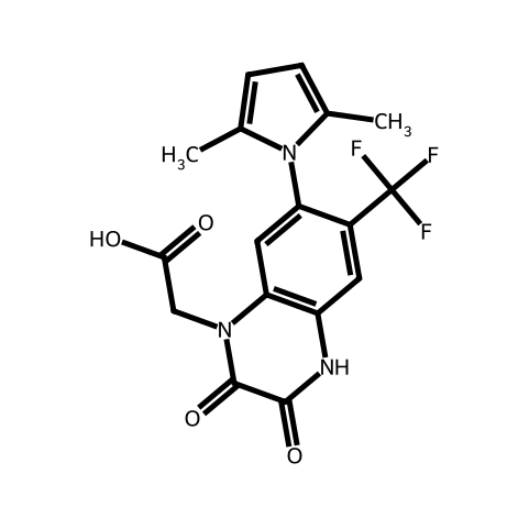 Cc1ccc(C)n1-c1cc2c(cc1C(F)(F)F)[nH]c(=O)c(=O)n2CC(=O)O